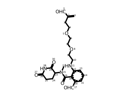 C=C(C=O)CCOCCOCCNc1cccc(C=O)c1C(=O)N(C)C1CCC(=O)NC1=O